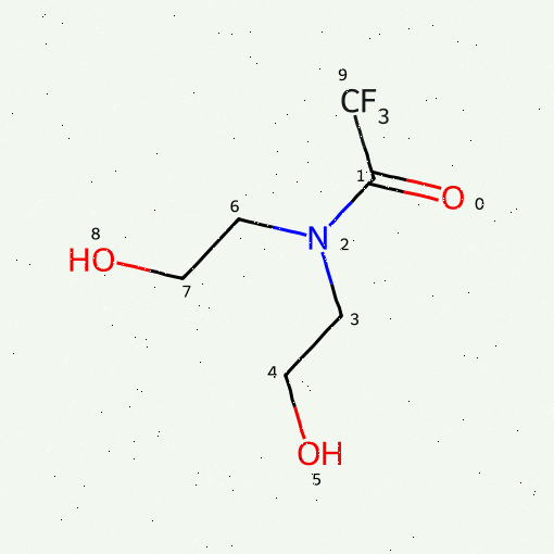 O=C(N(CCO)CCO)C(F)(F)F